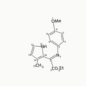 CCOC(=O)C(=Nc1ccc(OC)cc1)c1[nH]ccc1C